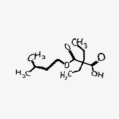 CCC(CC)(C(=O)O)C(=O)OCCC(C)C